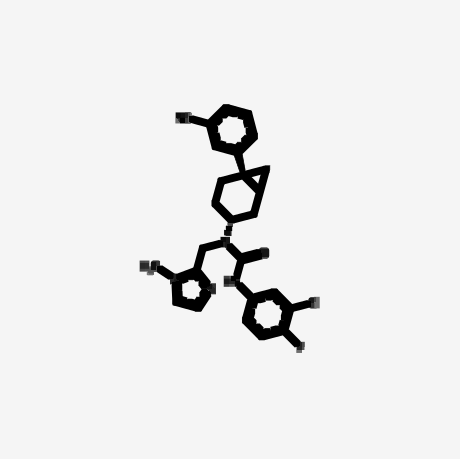 Cn1ccnc1CN(C(=O)Nc1ccc(F)c(Cl)c1)[C@@H]1CC[C@]2(c3cccc(C#N)c3)CC2C1